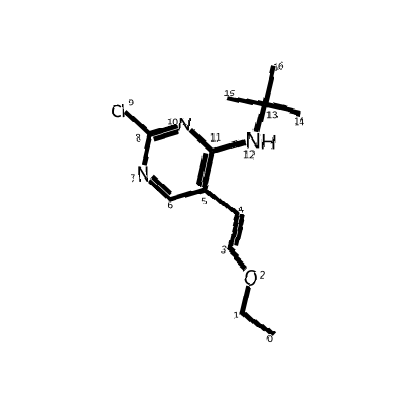 CCOC=Cc1cnc(Cl)nc1NC(C)(C)C